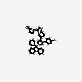 Fc1ccc(-c2nn(C(c3ccccc3)(c3ccccc3)C3C=CC=CC3)cc2-c2ccc3ncc(-c4ccc(Cl)s4)n3c2)cc1